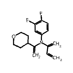 C=CC(=C)N(C(=C)C1CCOCC1)c1ccc(F)c(F)c1